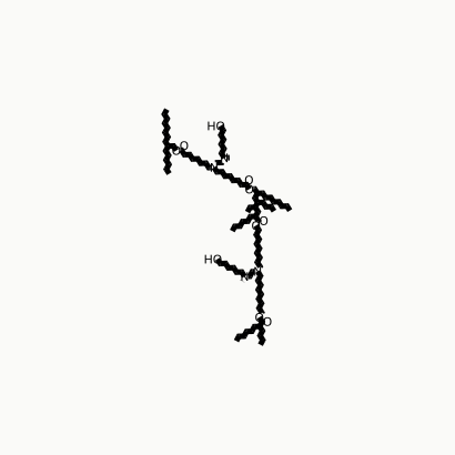 CCCCCCCCC(CCCCCC)COC(=O)CCCCCCCN(CCCCCCCC(=O)OCC(CCCCCCCC)CC(CCCC)C(CC)CC(CCCCCC)C(=O)OCCCCCCCCCN(CCCCCCCCCOC(=O)C(CCCC)CCCCCC)CCN(C)CCCCCCO)CCN(C)CCCCCCO